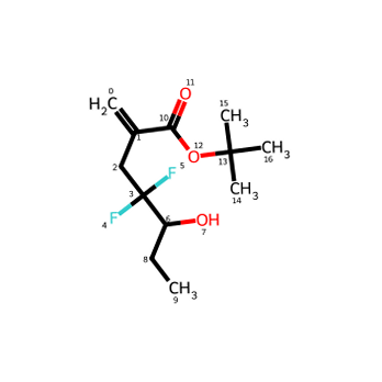 C=C(CC(F)(F)C(O)CC)C(=O)OC(C)(C)C